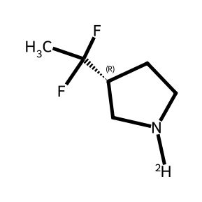 [2H]N1CC[C@@H](C(C)(F)F)C1